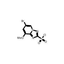 COc1cc(Br)cn2nc(S(=O)(=O)Cl)nc12